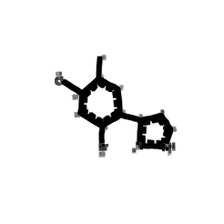 Cc1cc(-c2cc[nH]n2)c(Br)cc1Cl